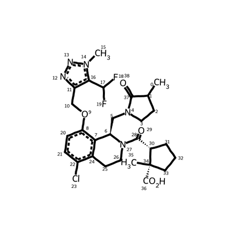 CC1CCN(C[C@@H]2c3c(OCc4nnn(C)c4C(F)F)ccc(Cl)c3CCN2C(=O)[C@@H]2CCC[C@]2(C)C(=O)O)C1=O